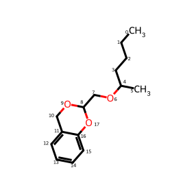 CCCCC(C)OCC1OCc2ccccc2O1